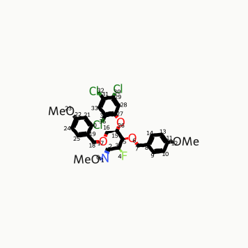 CON=C[C@H](F)[C@H](OCc1ccc(OC)cc1)[C@@H](COCc1ccc(OC)cc1)Oc1cc(Cl)c(Cl)cc1Cl